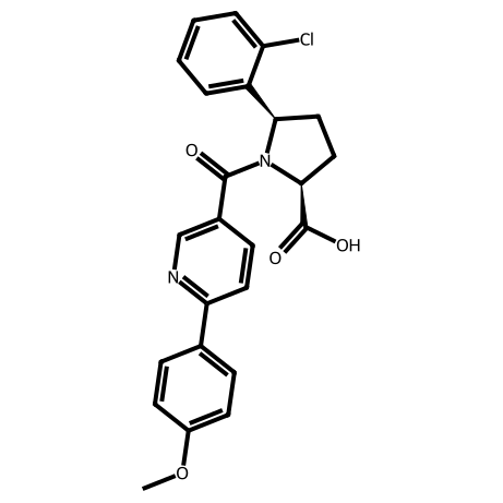 COc1ccc(-c2ccc(C(=O)N3[C@@H](c4ccccc4Cl)CC[C@H]3C(=O)O)cn2)cc1